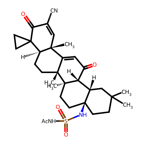 CC(=O)NS(=O)(=O)N[C@]12CCC(C)(C)C[C@H]1[C@H]1C(=O)C=C3[C@@]4(C)C=C(C#N)C(=O)C5(CC5)[C@@H]4CC[C@@]3(C)[C@]1(C)CC2